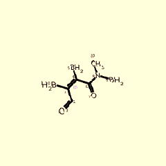 B/C(C=O)=C(\B)C(=O)N(B)C